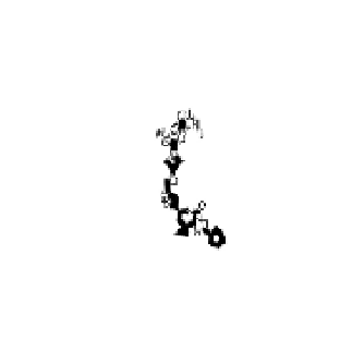 CC(C)(C)OC(=O)N1CC(OCc2cc([C@@H]3CC4(CC4)[C@@H]4CN3C(=O)N4OCc3ccccc3)no2)C1